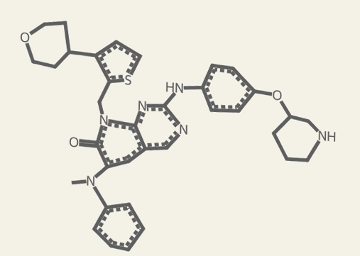 CN(c1ccccc1)c1cc2cnc(Nc3ccc(OC4CCCNC4)cc3)nc2n(Cc2sccc2C2CCOCC2)c1=O